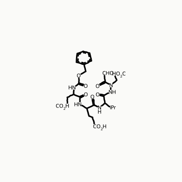 CC(C)C(NC(=O)C(CCC(=O)O)NC(=O)C(CC(=O)O)NC(=O)OCc1ccccc1)C(=O)NN(CC(=O)O)C(=O)C=O